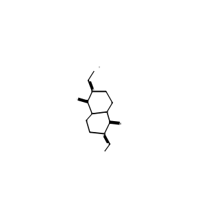 O=C1C(=CO)CCC2C(=O)C(=CO)CCC12